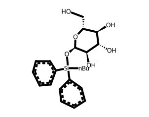 CCCC[Si](O[C@H]1O[C@H](CO)[C@@H](O)[C@H](O)[C@H]1O)(c1ccccc1)c1ccccc1